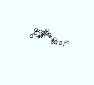 CCOC(=O)OC(C)OC(=O)CCc1ccc(-c2nc(-c3ccc(C(=O)OCc4ccccc4)cc3C(=N)N)cn2C)cc1